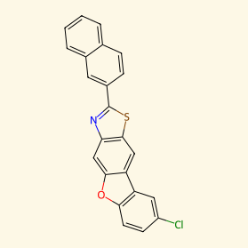 Clc1ccc2oc3cc4nc(-c5ccc6ccccc6c5)sc4cc3c2c1